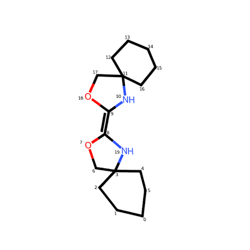 C1CCC2(CC1)CO/C(=C1/NC3(CCCCC3)CO1)N2